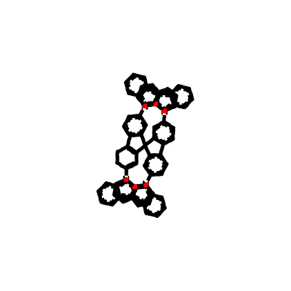 C1=C(n2c3ccccc3c3ccccc32)CCC2=C1C1(c3cc(-n4c5ccccc5c5ccccc54)ccc32)c2cc(-n3c4ccccc4c4ccccc43)ccc2-c2ccc(-n3c4ccccc4c4ccccc43)cc21